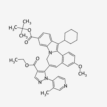 CCOC(=O)c1cnn(-c2ccncc2C)c1C1=Cc2cc(OC)ccc2-c2c(C3CCCCC3)c3ccc(C(=O)OC(C)(C)C)cc3n2C1